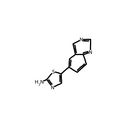 Nc1ncc(-c2ccc3ncncc3c2)s1